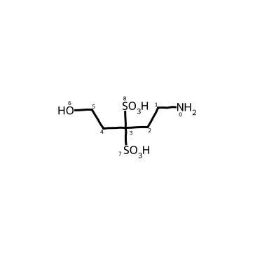 NCCC(CCO)(S(=O)(=O)O)S(=O)(=O)O